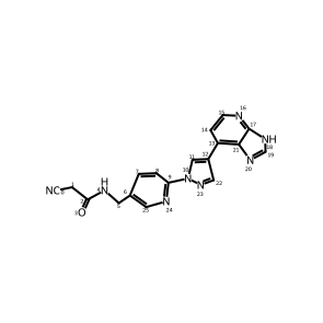 N#CCC(=O)NCc1ccc(-n2cc(-c3ccnc4[nH]cnc34)cn2)nc1